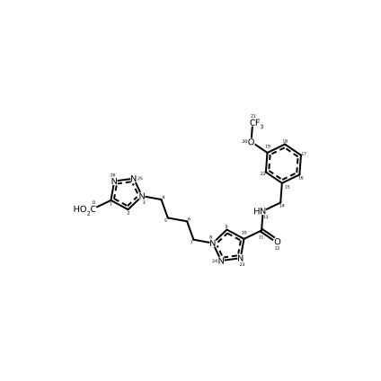 O=C(O)c1cn(CCCCn2cc(C(=O)NCc3cccc(OC(F)(F)F)c3)nn2)nn1